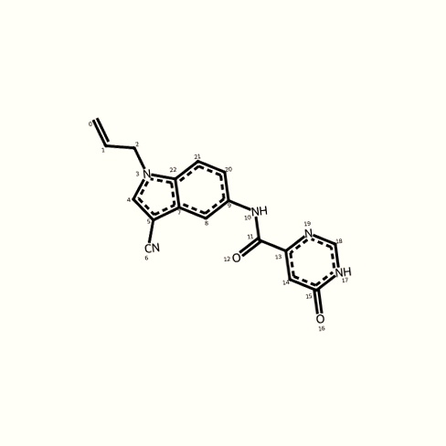 C=CCn1cc(C#N)c2cc(NC(=O)c3cc(=O)[nH]cn3)ccc21